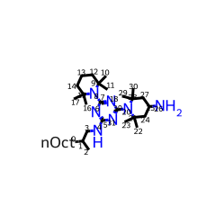 CCCCCCCCC(C)CNc1nc(N2C(C)(C)CCCC2(C)C)nc(N2C(C)(C)CC(N)CC2(C)C)n1